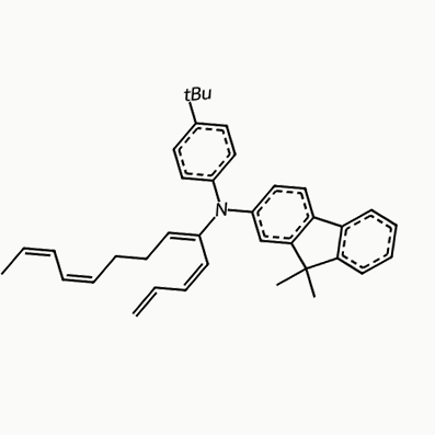 C=C/C=C\C(=C/CC/C=C\C=C/C)N(c1ccc(C(C)(C)C)cc1)c1ccc2c(c1)C(C)(C)c1ccccc1-2